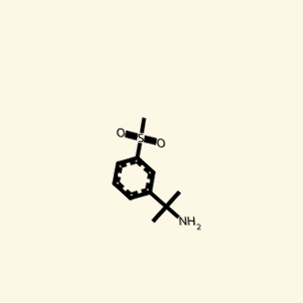 CC(C)(N)c1cccc(S(C)(=O)=O)c1